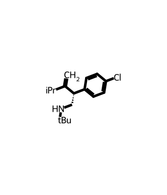 C=C(C(C)C)[C@@H](CNC(C)(C)C)c1ccc(Cl)cc1